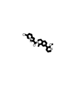 COc1ncccc1-c1ccc2c(c1)C(C)N(C(=O)c1cc3ccc(Cl)cn3n1)CC2